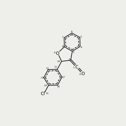 O=C=C1c2ccccc2OC1c1ccc(Cl)cc1